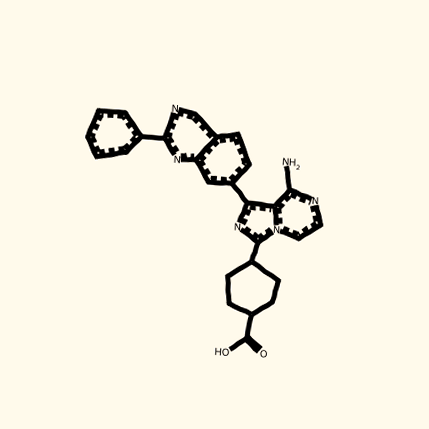 Nc1nccn2c(C3CCC(C(=O)O)CC3)nc(-c3ccc4cnc(-c5ccccc5)nc4c3)c12